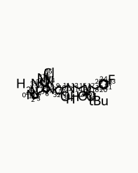 Cn1ccc(-c2cn([C@@H]3CC(CNCCCN(CCc4ccc(F)cc4)C(=O)OC(C)(C)C)[C@@H](O)C3)c3nc(Cl)nc(N)c23)n1